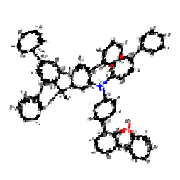 CC1(C)c2cc(N(c3ccc(-c4ccccc4)cc3)c3ccc(-c4cccc5c4oc4ccccc45)cc3)c(-c3ccccc3)cc2-c2cc(-c3ccccc3)cc(-c3ccccc3)c21